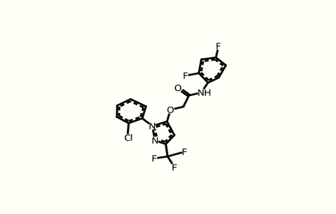 O=C(COc1cc(C(F)(F)F)nn1-c1ccccc1Cl)Nc1ccc(F)cc1F